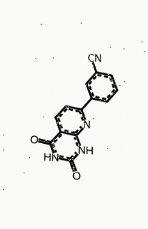 N#Cc1cccc(-c2ccc3c(=O)[nH]c(=O)[nH]c3n2)c1